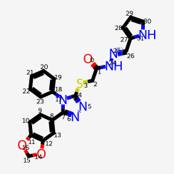 O=C(CSc1nnc(-c2ccc3c(c2)OCO3)n1-c1ccccc1)N/N=C/c1ccc[nH]1